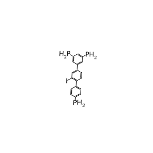 Pc1ccc(-c2ccc(-c3cc(P)cc(P)c3)cc2I)cc1